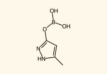 Cc1cc(OB(O)O)n[nH]1